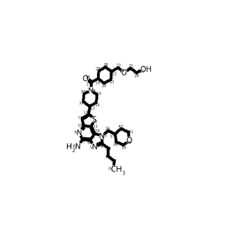 CCCCc1nc2c(N)nc3cc(C4CCN(C(=O)C5CCC(COCCO)CC5)CC4)sc3c2n1CC1CCOCC1